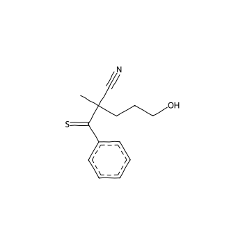 CC(C#N)(CCCO)C(=S)c1ccccc1